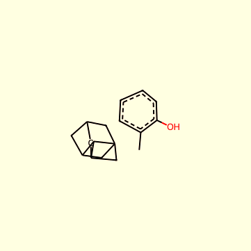 C1C2CC3CC4(C2)CC1C34.Cc1ccccc1O